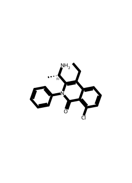 CCc1c([C@H](C)N)n(-c2ccccc2)c(=O)c2c(Cl)cccc12